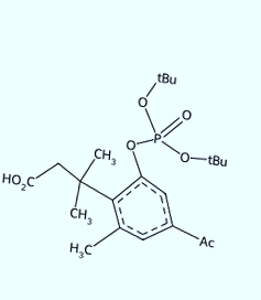 CC(=O)c1cc(C)c(C(C)(C)CC(=O)O)c(OP(=O)(OC(C)(C)C)OC(C)(C)C)c1